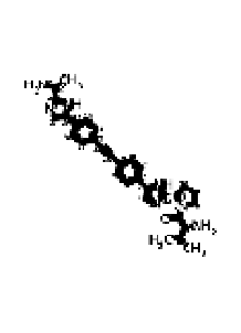 CC(C)[C@@H](N)C(=O)N1CCC[C@H]1c1ncc(-c2ccc(C#Cc3ccc(-c4cnc([C@H](C)N)[nH]4)cc3)cc2)[nH]1